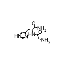 NCC(=O)N[C@@H](Cc1c[nH]cn1)C(N)=O